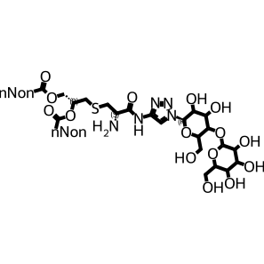 CCCCCCCCCC(=O)OC[C@H](CSC[C@@H](N)C(=O)Nc1cn([C@@H]2OC(CO)C(OC3OC(CO)C(O)C(O)C3O)C(O)C2O)nn1)OC(=O)CCCCCCCCC